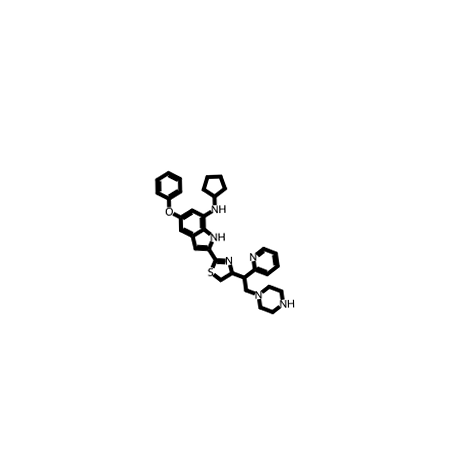 c1ccc(Oc2cc(NC3CCCC3)c3[nH]c(C4=NC(C(CN5CCNCC5)c5ccccn5)CS4)cc3c2)cc1